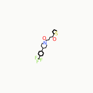 O=C(CCC(=O)N1CCC(c2ccc(C(F)(F)F)cc2)CC1)c1cccs1